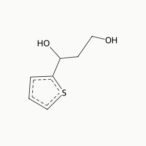 OCCC(O)c1cccs1